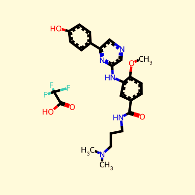 COc1ccc(C(=O)NCCCN(C)C)cc1Nc1cncc(-c2ccc(O)cc2)n1.O=C(O)C(F)(F)F